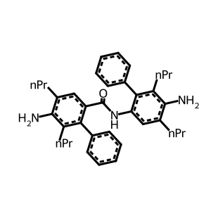 CCCc1cc(NC(=O)c2cc(CCC)c(N)c(CCC)c2-c2ccccc2)c(-c2ccccc2)c(CCC)c1N